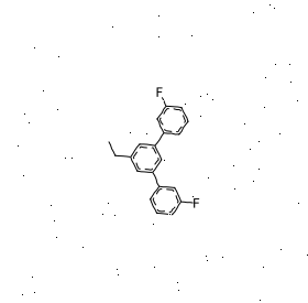 CCc1cc(-c2cccc(F)c2)cc(-c2cccc(F)c2)c1